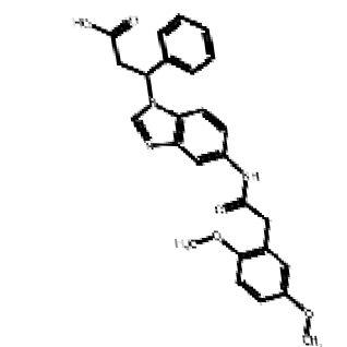 COc1ccc(OC)c(CC(=O)Nc2ccc3c(c2)ncn3C(CC(=O)O)c2ccccc2)c1